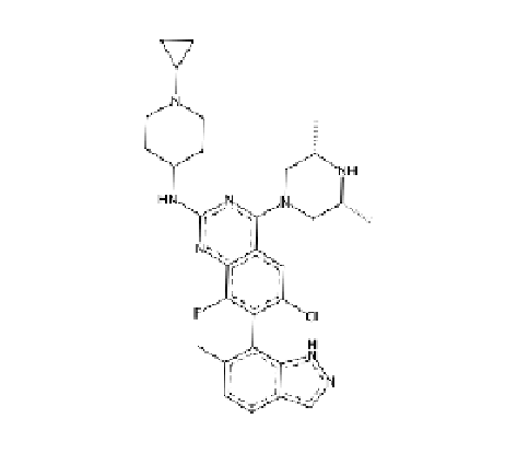 Cc1ccc2cn[nH]c2c1-c1c(Cl)cc2c(N3C[C@@H](C)N[C@@H](C)C3)nc(NC3CCN(C4CC4)CC3)nc2c1F